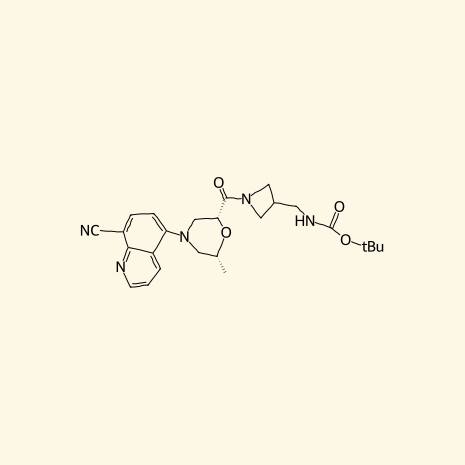 C[C@@H]1CN(c2ccc(C#N)c3ncccc23)C[C@H](C(=O)N2CC(CNC(=O)OC(C)(C)C)C2)O1